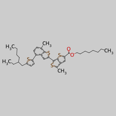 CCCCCCCCOC(=O)c1cc2c(C)sc(-c3cc4c(-c5ccc(CC(CC)CCCC)s5)ccc(C)c4s3)c2s1